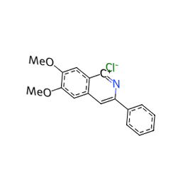 COc1cc2c(cc1OC)C=C(c1ccccc1)N=[C+]2.[Cl-]